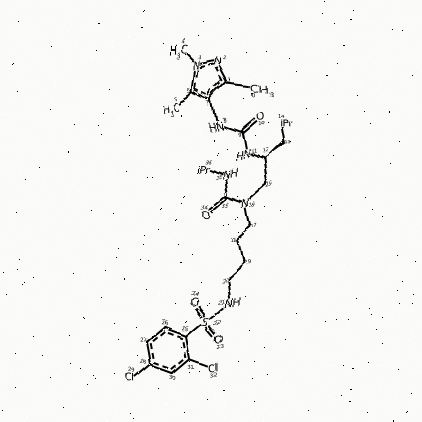 Cc1nn(C)c(C)c1NC(=O)N[C@@H](CC(C)C)CN(CCCCNS(=O)(=O)c1ccc(Cl)cc1Cl)C(=O)NC(C)C